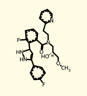 COC[C@H](O)CN(CCc1ccccn1)C(=O)c1cccc(F)c1C1C=C(c2ccc(F)cc2)NN1